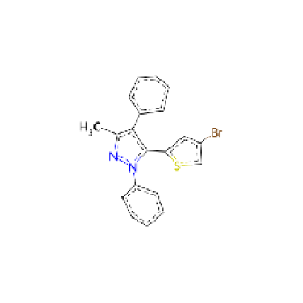 Cc1nn(-c2ccccc2)c(-c2cc(Br)cs2)c1-c1ccccc1